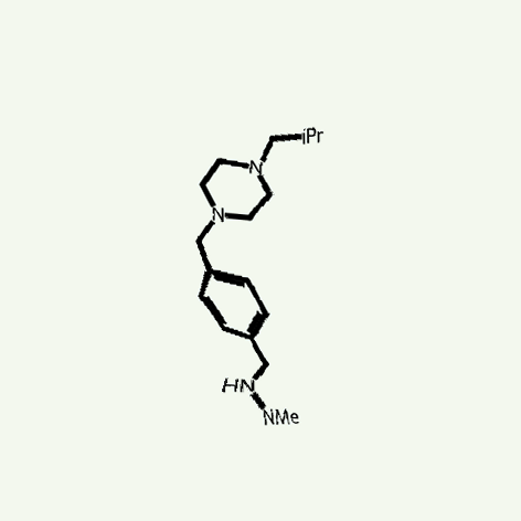 CNNCc1ccc(CN2CCN(CC(C)C)CC2)cc1